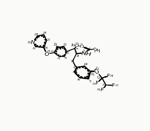 O=C(O)NC(Cc1cccc(OC(F)(F)C(F)F)c1)C(O)c1ccc(Oc2cccnc2)cc1